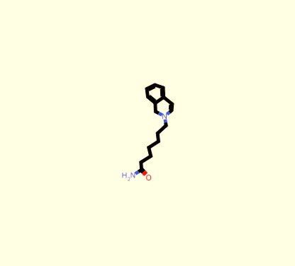 NC(=O)CCCCCCN1C=Cc2ccccc2C1